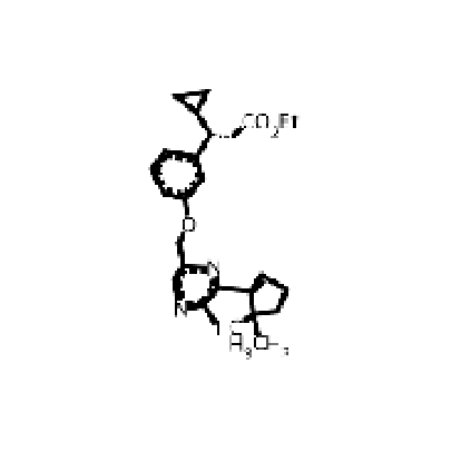 CCOC(=O)C[C@H](c1cccc(OCc2cnc(I)c(C3=CCCC3(C)C)n2)c1)C1CC1